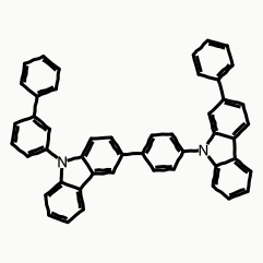 c1ccc(-c2cccc(-n3c4ccccc4c4cc(-c5ccc(-n6c7ccccc7c7ccc(-c8ccccc8)cc76)cc5)ccc43)c2)cc1